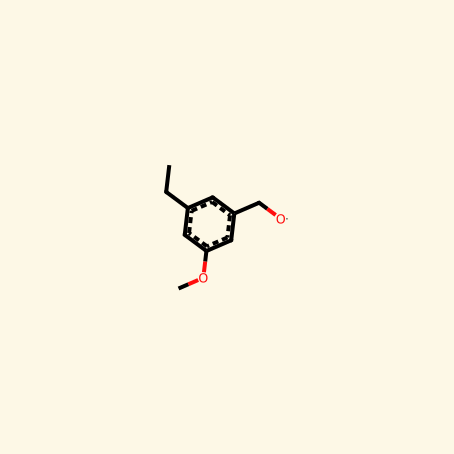 CCc1cc(C[O])cc(OC)c1